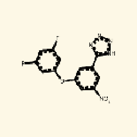 O=[N+]([O-])c1cc(Oc2cc(F)cc(F)c2)cc(-c2nnn[nH]2)c1